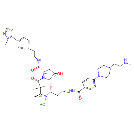 CNCCN1CCN(c2ccc(C(=O)NCCCC(=O)N[C@@H](C)C(C)(C)C(=O)N3C[C@H](O)C[C@H]3C(=O)NCCc3ccc(-c4scnc4C)cc3)cn2)CC1.Cl